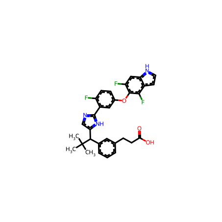 CC(C)(C)C(c1cccc(CCC(=O)O)c1)c1cnc(-c2cc(Oc3c(F)cc4[nH]ccc4c3F)ccc2F)[nH]1